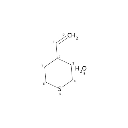 C=CC1CCSCC1.O